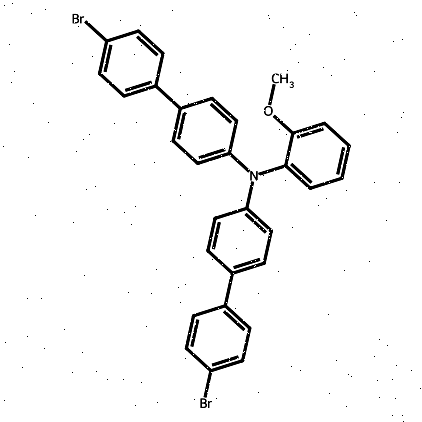 COc1ccccc1N(c1ccc(-c2ccc(Br)cc2)cc1)c1ccc(-c2ccc(Br)cc2)cc1